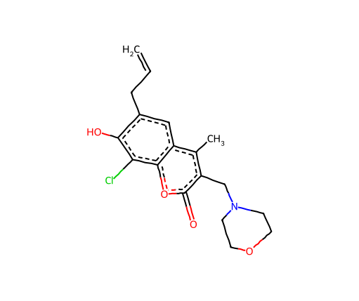 C=CCc1cc2c(C)c(CN3CCOCC3)c(=O)oc2c(Cl)c1O